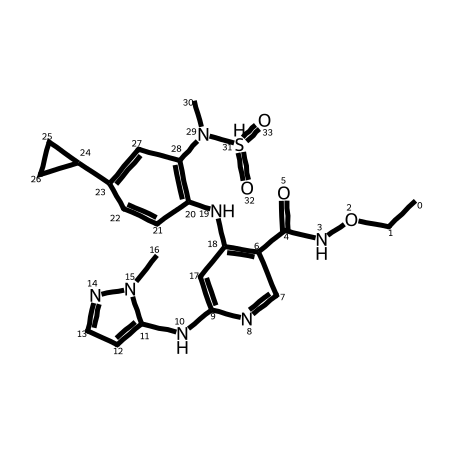 CCONC(=O)c1cnc(Nc2ccnn2C)cc1Nc1ccc(C2CC2)cc1N(C)[SH](=O)=O